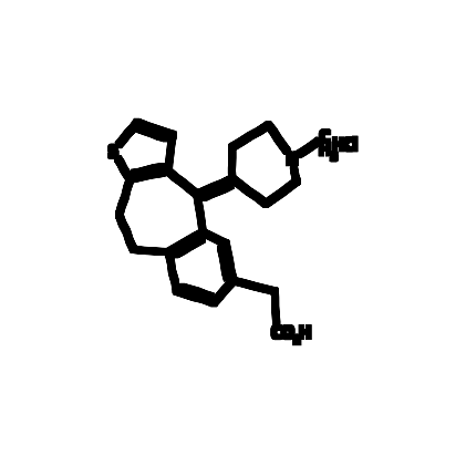 CN1CCC(=C2c3cc(CC(=O)O)ccc3CCc3sccc32)CC1.Cl